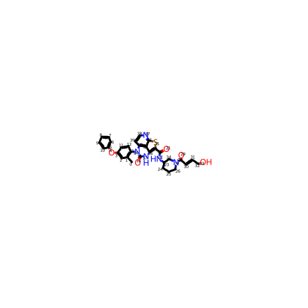 Cc1cc(Oc2ccccc2)ccc1N1C(=O)Nc2c(C(=O)NC3CCCN(C(=O)C=CCO)C3)sc3nccc1c23